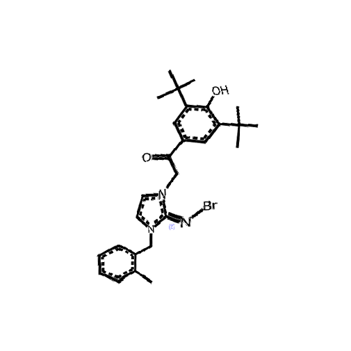 Cc1ccccc1Cn1ccn(CC(=O)c2cc(C(C)(C)C)c(O)c(C(C)(C)C)c2)/c1=N\Br